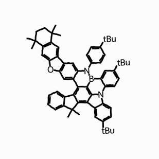 CC(C)(C)c1ccc(N2B3c4cc(C(C)(C)C)ccc4-n4c5ccc(C(C)(C)C)cc5c5c6c(c(c3c54)-c3cc4oc5cc7c(cc5c4cc32)C(C)(C)CCC7(C)C)-c2ccccc2C6(C)C)cc1